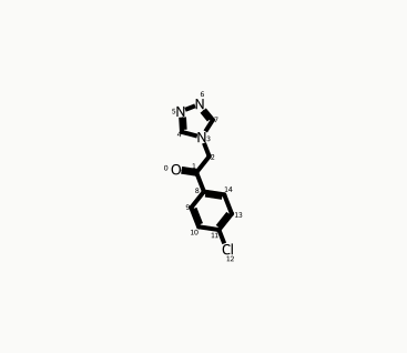 O=C(Cn1cnnc1)c1ccc(Cl)cc1